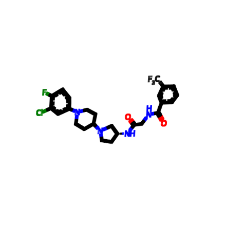 O=C(CNC(=O)c1cccc(C(F)(F)F)c1)N[C@@H]1CCN(C2CCN(c3ccc(F)c(Cl)c3)CC2)C1